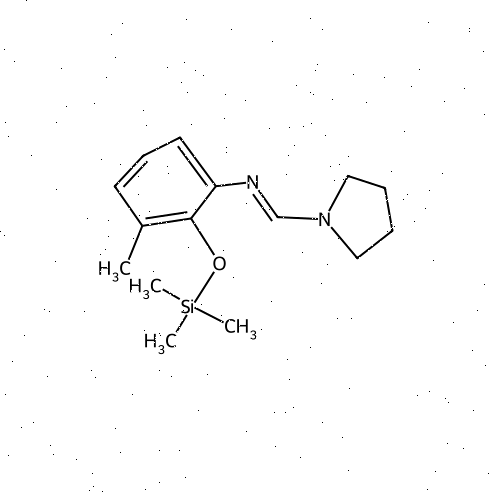 Cc1cccc(N=CN2CCCC2)c1O[Si](C)(C)C